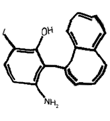 Nc1ccc(I)c(O)c1-c1cccc2ccccc12